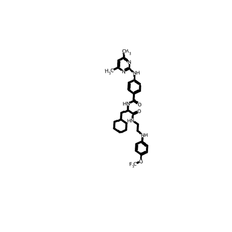 Cc1cc(C)nc(Nc2ccc(C(=O)NC(CC3CCCCC3)C(=O)NCCNc3ccc(OC(F)(F)F)cc3)cc2)n1